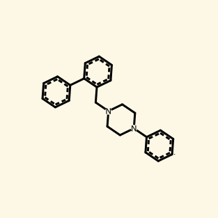 [c]1ccc(N2CCN(Cc3ccccc3-c3ccccc3)CC2)cc1